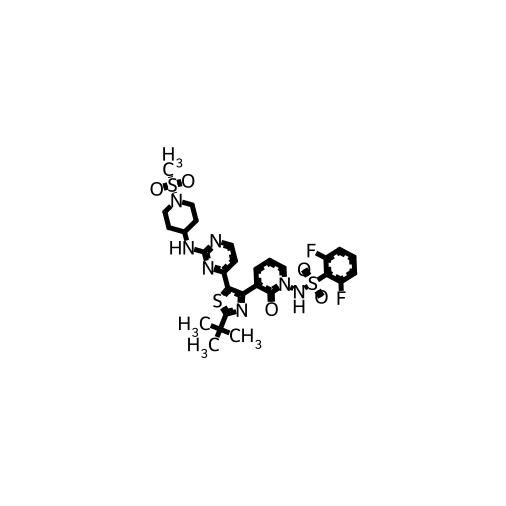 CC(C)(C)c1nc(-c2cccn(NS(=O)(=O)c3c(F)cccc3F)c2=O)c(-c2ccnc(NC3CCN(S(C)(=O)=O)CC3)n2)s1